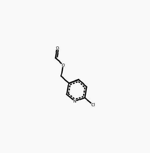 O=COCc1ccc(Cl)nc1